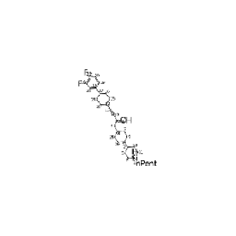 CCCCC[SiH]1CCC(C2CCC(CC(O)C#CC3CCC(c4ccc(F)c(F)c4)CC3)CC2)CC1